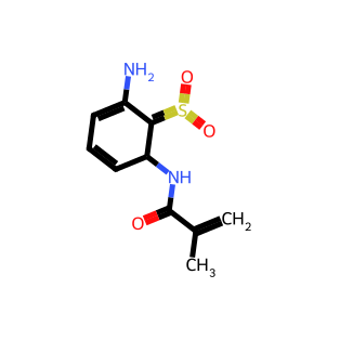 C=C(C)C(=O)NC1C=CC=C(N)C1=S(=O)=O